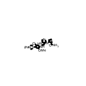 COc1cc(N2CCN(C(C)C)CC2)c(Cl)cc1Nc1cc2c(Nc3ccsc3C(N)=O)cncc2[nH]1